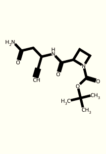 C#CC(CC(N)=O)NC(=O)C1CCN1C(=O)OC(C)(C)C